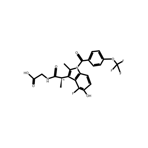 Cc1c([C@@H](C)C(=O)NCC(=O)O)c2c(F)c(O)ccc2n1C(=O)c1ccc(OC(F)(F)F)cc1